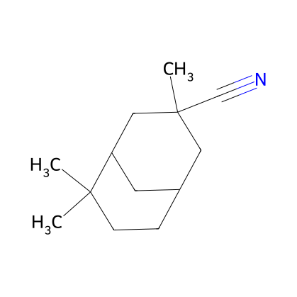 CC1(C#N)CC2CCC(C)(C)C(C2)C1